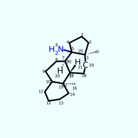 C[C@@]12CCCC1(N)[C@@H]1CCC3CCCC[C@]3(C)[C@H]1CC2